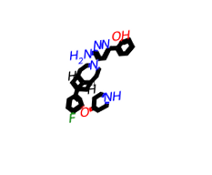 Nc1nnc(-c2ccccc2O)cc1N1CC[C@@H]2CC3(c4ccc(F)c(OC5CCNCC5)c4)C[C@H](CC1)C23